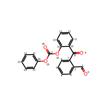 O=[C]c1ccccc1C(=O)c1ccccc1OC(=O)Oc1ccccc1